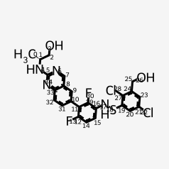 C[C@H](CO)Nc1ncc2cc(-c3c(F)ccc(NSc4cc(Cl)cc(CO)c4Cl)c3F)ccc2n1